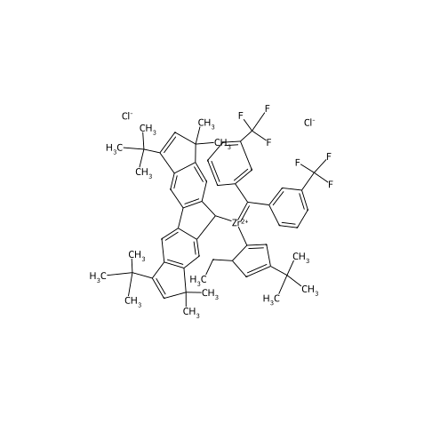 CCC1C=C(C(C)(C)C)C=[C]1[Zr+2](=[C](c1cccc(C(F)(F)F)c1)c1cccc(C(F)(F)F)c1)[CH]1c2cc3c(cc2-c2cc4c(cc21)C(C)(C)C=C4C(C)(C)C)C(C(C)(C)C)=CC3(C)C.[Cl-].[Cl-]